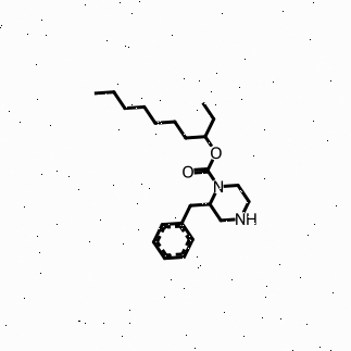 CCCCCCCC(CC)OC(=O)N1CCNCC1Cc1ccccc1